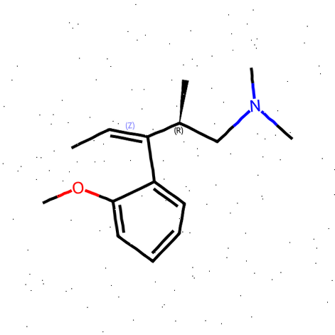 C/C=C(\c1ccccc1OC)[C@@H](C)CN(C)C